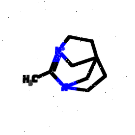 CC1=[N+]2CCC3(CCN1C3)C2